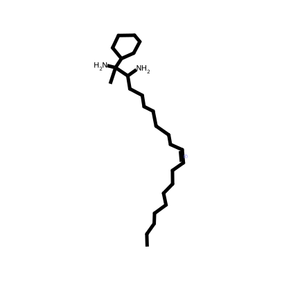 CCCCCCCC/C=C\CCCCCCCC(N)C(C)(N)C1CCCCC1